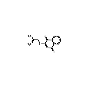 C=C(C)COC1=CC(=O)c2ccccc2C1=O